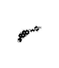 C[C@]12CCC(OCCCN3CCNCC3)CC1CC[C@@H]1[C@H]2CC[C@]2(C)C(c3ccoc3)CC[C@@]12O